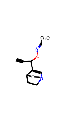 C#CC(ON=CC=O)C1=CN2CCC1CC2